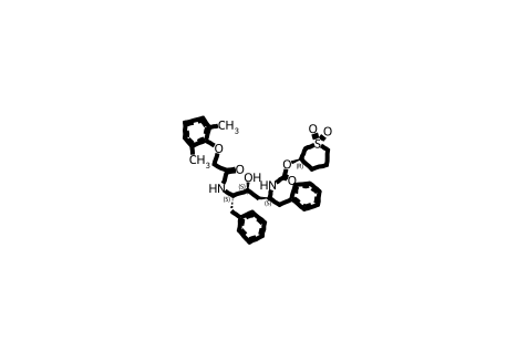 Cc1cccc(C)c1OCC(=O)N[C@@H](Cc1ccccc1)[C@@H](O)C[C@H](Cc1ccccc1)NC(=O)O[C@@H]1CCCS(=O)(=O)C1